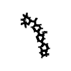 CN(c1ncc(-c2ccc(-c3ccc4[nH]ncc4n3)cc2O)nn1)C1CC(C)(C)NC(C)(C)C1